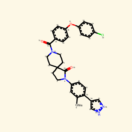 COc1cc(N2CCC3(CCN(C(=O)c4ccc(Oc5ccc(Cl)cc5)cc4)CC3)C2=O)ccc1-c1cn[nH]c1